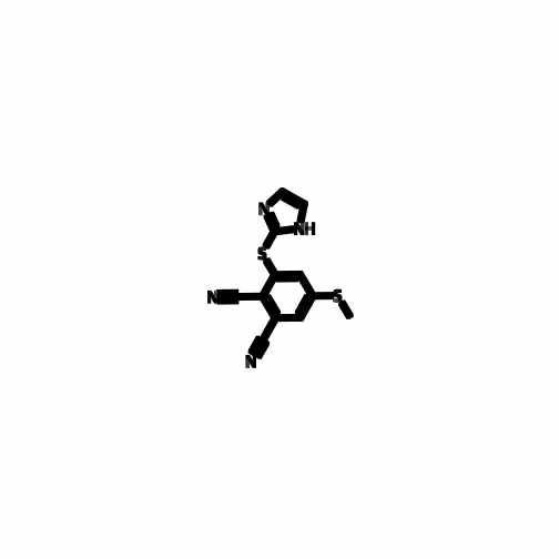 CSc1cc(C#N)c(C#N)c(Sc2ncc[nH]2)c1